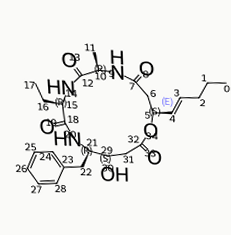 CCC/C=C/[C@@H]1CC(=O)N[C@H](C)C(=O)N[C@H](CC)C(=O)N[C@H](Cc2ccccc2)[C@@H](O)CC(=O)O1